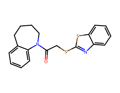 O=C(CSc1nc2ccccc2s1)N1CCCCc2ccccc21